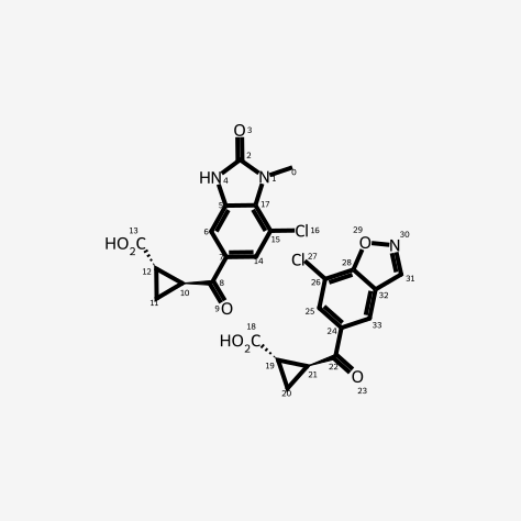 Cn1c(=O)[nH]c2cc(C(=O)[C@H]3C[C@@H]3C(=O)O)cc(Cl)c21.O=C(O)[C@H]1C[C@@H]1C(=O)c1cc(Cl)c2oncc2c1